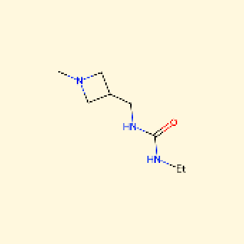 CCNC(=O)NCC1CN(C)C1